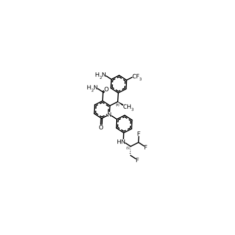 C[C@H](c1cc(N)cc(C(F)(F)F)c1)c1c(C(N)=O)ccc(=O)n1-c1cccc(N[C@@H](CF)C(F)F)c1